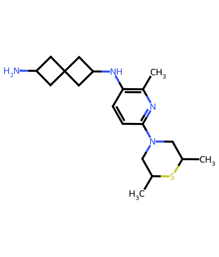 Cc1nc(N2CC(C)SC(C)C2)ccc1NC1CC2(CC(N)C2)C1